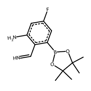 CC1(C)OB(c2cc(F)cc(N)c2C=N)OC1(C)C